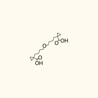 O=C(O)C1(CCCCOCCCCC2(C(=O)O)CC2)CC1